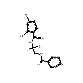 CC(C)(COC(=O)c1ccccc1)NC(=O)c1ccc(F)cc1F